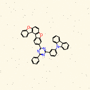 c1ccc(-c2nc(-c3cccc(-n4c5ccccc5c5ccccc54)c3)nc(-c3ccc4c(c3)oc3ccc5oc6ccccc6c5c34)n2)cc1